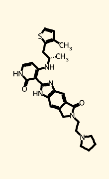 Cc1ccsc1C[C@H](C)Nc1cc[nH]c(=O)c1-c1nc2cc3c(cc2[nH]1)CN(CCN1CCCC1)C3=O